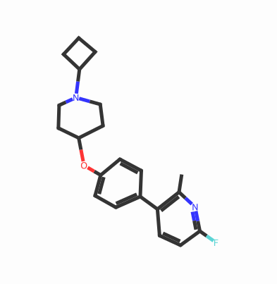 Cc1nc(F)ccc1-c1ccc(OC2CCN(C3CCC3)CC2)cc1